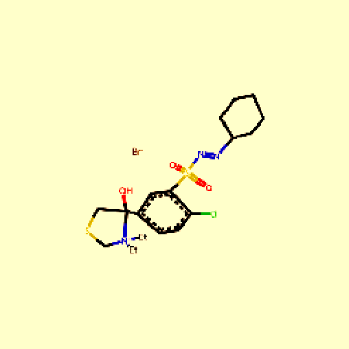 CC[N+]1(CC)CSCC1(O)c1ccc(Cl)c(S(=O)(=O)N=NC2CCCCC2)c1.[Br-]